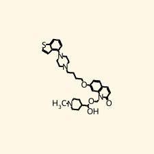 CN1CCC(C(O)OCn2c(=O)ccc3ccc(OCCCCN4CCN(c5cccc6sccc56)CC4)cc32)CC1